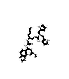 CCCCC(CSC(=O)N(Cc1cccs1)Cc1cccs1)NC(=O)NC(CC(=O)OC)c1ccc2c(c1)OCO2